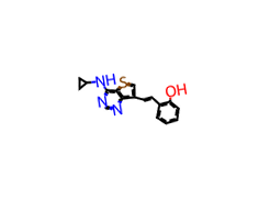 Oc1ccccc1C=Cc1csc2c(NC3CC3)ncnc12